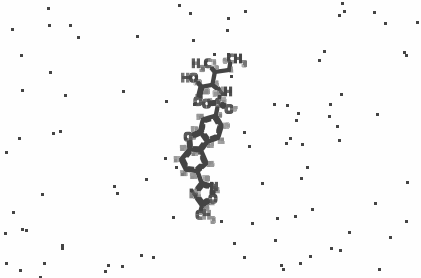 CCC(C)C(NS(=O)(=O)c1ccc2c(c1)oc1ccc(-c3noc(C)n3)cc12)C(=O)O